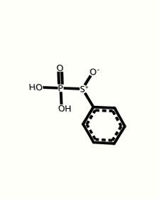 O=P(O)(O)[S+]([O-])c1ccccc1